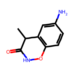 CC1C(=O)NOc2ccc(N)cc21